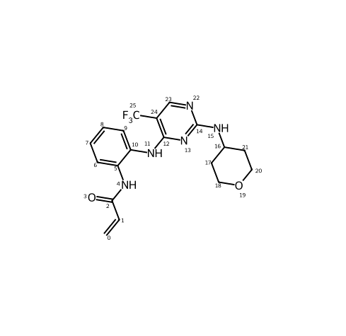 C=CC(=O)Nc1ccccc1Nc1nc(NC2CCOCC2)ncc1C(F)(F)F